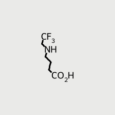 O=C(O)CCCNCC(F)(F)F